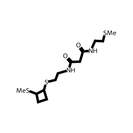 CSCCNC(=O)CC(=O)NCCSC1CCC1SC